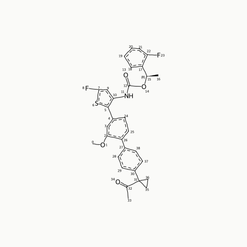 COc1cc(-c2sc(F)cc2NC(=O)O[C@H](C)c2ccccc2F)ccc1-c1ccc(C2(C(C)=O)CC2)cc1